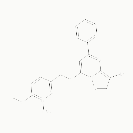 CCOc1ccc(CNc2cc(-c3ccccc3)nc3c(CC)cnn23)c[n+]1OC